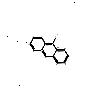 Fc1c2c[c]ccc2cc2c[c]ccc12